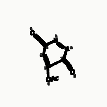 CC(=O)OC1=CC(=O)N=NC1=O